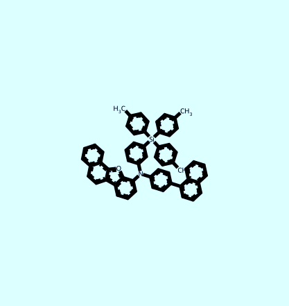 Cc1ccc([Si](c2ccc(C)cc2)(c2ccc(C)cc2)c2cccc(N(c3ccc(-c4cccc5ccccc45)cc3)c3cccc4c3oc3c5ccccc5ccc43)c2)cc1